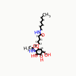 CCCCCCCNC(=O)CCCCOC1CC(CO)C(O)C(O)C1NC(C)=O